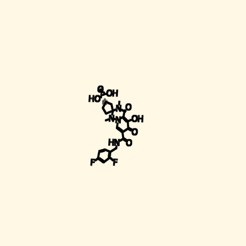 CN1C(=O)c2c(O)c(=O)c(C(=O)NCc3ccc(F)cc3F)cn2N(C)C12CC[C@H](P(=O)(O)O)C2